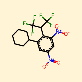 O=[N+]([O-])c1cc(C2CCCCC2)c(C(C(F)(F)F)C(F)(F)F)c([N+](=O)[O-])c1